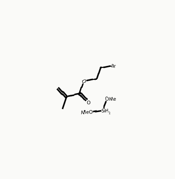 C=C(C)C(=O)OCCBr.CO[SiH2]OC